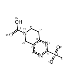 CS(=O)(=O)c1ncc2c(n1)CCN(C(=O)O)C2